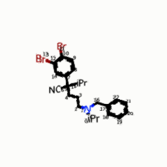 CC(C)N(CCCC(C#N)(c1ccc(Br)c(Br)c1)C(C)C)Cc1ccccc1